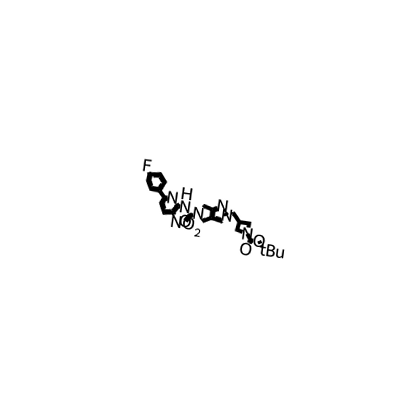 CC(C)(C)OC(=O)N1CC(Cn2cc3c(n2)CN(C(=O)Nc2nc(-c4ccc(F)cc4)ccc2[N+](=O)[O-])C3)C1